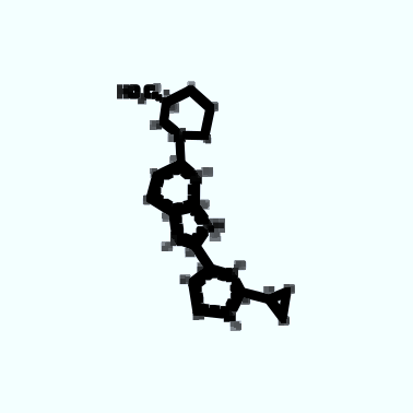 O=C(O)[C@@H]1CCCN(c2ccc3nc(-c4ccnc(C5CC5)n4)[nH]c3n2)C1